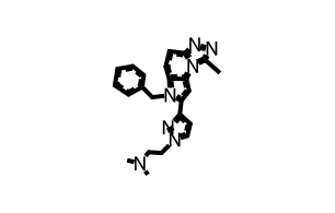 Cc1nnc2ccc3c(cc(-c4ccn(CCN(C)C)n4)n3Cc3ccccc3)n12